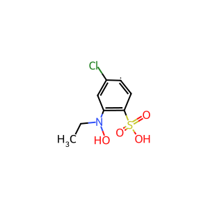 CCN(O)c1cc(Cl)[c]cc1S(=O)(=O)O